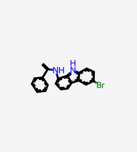 C=C(Nc1cccc2c1[nH]c1ccc(Br)cc12)c1ccccc1